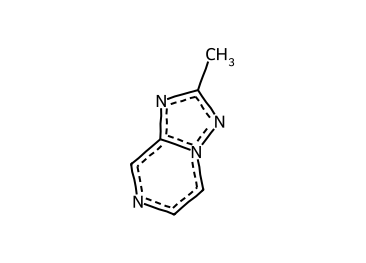 Cc1nc2cnccn2n1